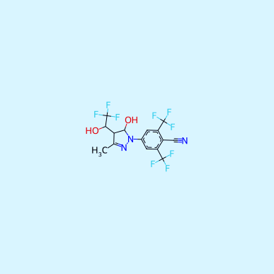 CC1=NN(c2cc(C(F)(F)F)c(C#N)c(C(F)(F)F)c2)C(O)C1C(O)C(F)(F)F